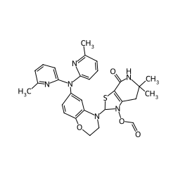 Cc1cccc(N(c2ccc3c(c2)N(C2SC4=C(CC(C)(C)NC4=O)N2OC=O)CCO3)c2cccc(C)n2)n1